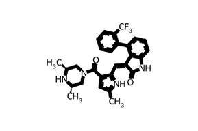 Cc1cc(C(=O)N2C[C@H](C)N[C@@H](C)C2)c(C=C2C(=O)Nc3cccc(-c4ccccc4C(F)(F)F)c32)[nH]1